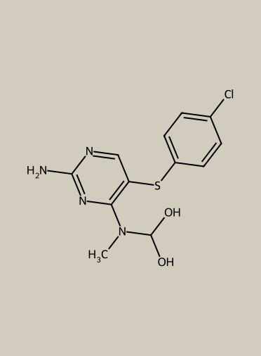 CN(c1nc(N)ncc1Sc1ccc(Cl)cc1)C(O)O